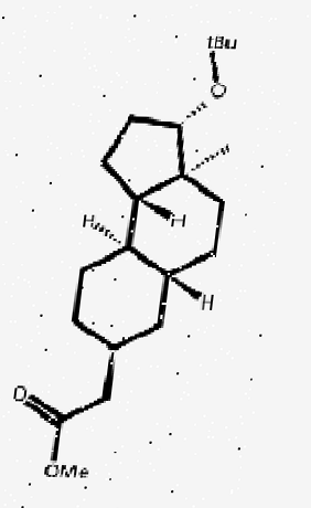 COC(=O)C[C@H]1CC[C@@H]2[C@H](CC[C@]3(C)[C@@H](OC(C)(C)C)CC[C@@H]23)C1